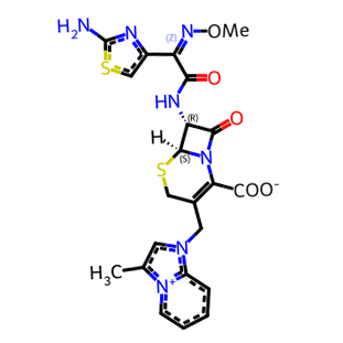 CO/N=C(\C(=O)N[C@@H]1C(=O)N2C(C(=O)[O-])=C(Cn3cc(C)[n+]4ccccc34)CS[C@@H]12)c1csc(N)n1